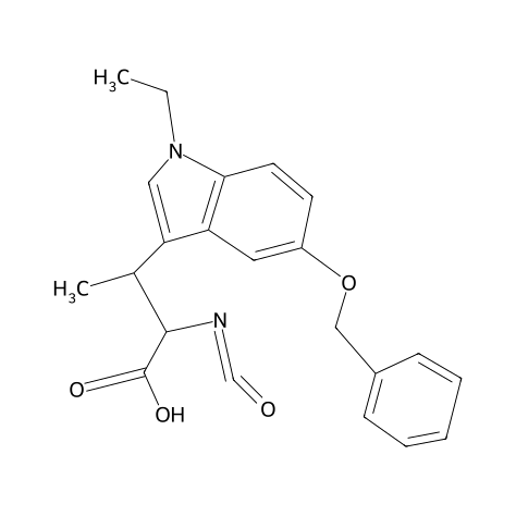 CCn1cc(C(C)C(N=C=O)C(=O)O)c2cc(OCc3ccccc3)ccc21